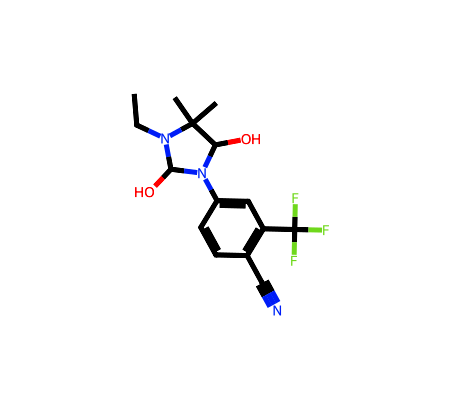 CCN1C(O)N(c2ccc(C#N)c(C(F)(F)F)c2)C(O)C1(C)C